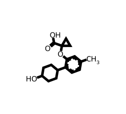 Cc1ccc(C2CCC(O)CC2)c(OC2(C(=O)O)CC2)c1